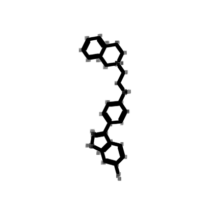 Fc1ccc2c(-c3ccc(OCCN4CCc5ccccc5C4)cc3)noc2c1